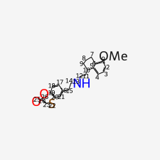 COc1cccc2c1CCCC2CCNCCc1ccc2c(c1)SCC(=O)O2